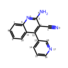 N#Cc1c(N)nc2ccccc2c1-c1cccnc1